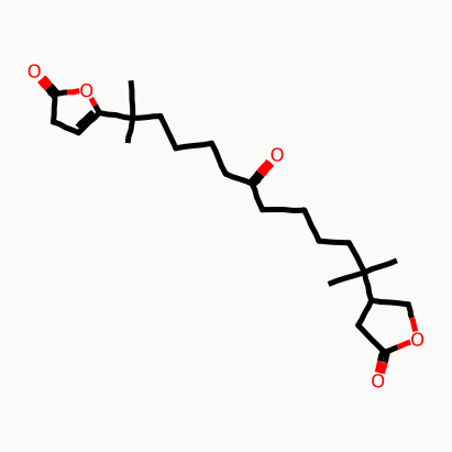 CC(C)(CCCCC(=O)CCCCC(C)(C)C1COC(=O)C1)C1=CCC(=O)O1